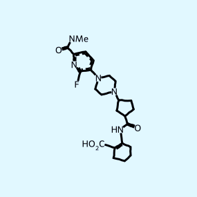 CNC(=O)c1ccc(N2CCN(C3CCC(C(=O)NC4=C(C(=O)O)CCCC4)C3)CC2)c(F)n1